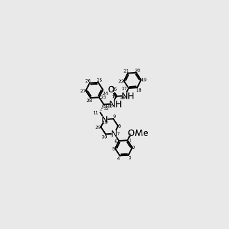 COc1ccccc1N1CCN(C[C@@H](NC(=O)Nc2ccccc2)c2ccccc2)CC1